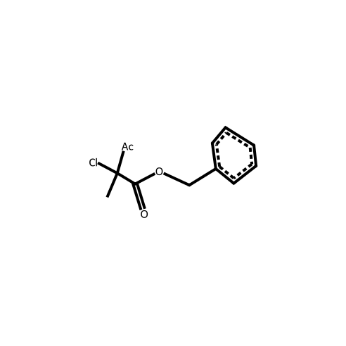 CC(=O)C(C)(Cl)C(=O)OCc1ccccc1